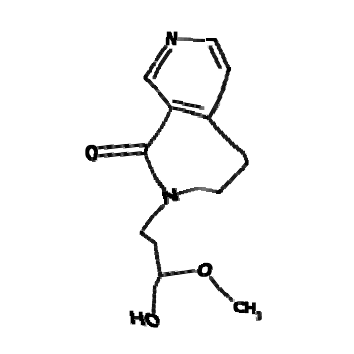 COC(O)CN1CCc2ccncc2C1=O